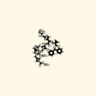 CC(C)(C)OC(=O)Nc1nc(C(=NOC2(C(=O)OC(c3ccccc3)c3ccccc3)CC2)C(=O)N[C@@H]2C(=O)N(S(=O)(=O)O)[C@@H]2Cn2ncc(CN(CC3CN(C(=O)OC(C)(C)C)C3)C(=O)OC(C)(C)C)n2)cs1